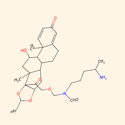 CCCC1OC2CC3C4CCC5=CC(=O)C=CC5(C)C4C(O)CC3(C)C2(C(=O)COCN(C=O)CCCC(C)N)O1